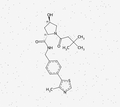 Cc1ncsc1-c1ccc(CNC(=O)[C@@H]2C[C@@H](O)CN2C(=O)CC(C)(C)C)cc1